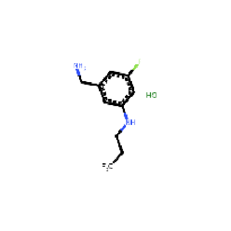 Cl.NCc1cc(F)cc(NCCC(F)(F)F)c1